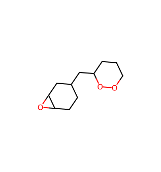 C1COOC(CC2CCC3OC3C2)C1